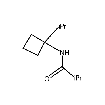 CC(C)C(=O)NC1(C(C)C)CCC1